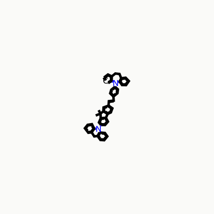 CC1(C)c2cc(/C=C/c3ccc(N4c5ccccc5CCc5ccccc54)cc3)ccc2-c2ccc(N3c4ccccc4Cc4ccccc43)cc21